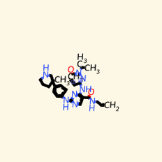 C=CCNC(=O)c1cnc(Nc2ccc(C3(C)CCCNC3)cc2)nc1NC(/C=C\C)=N/N(C=O)C(C)C